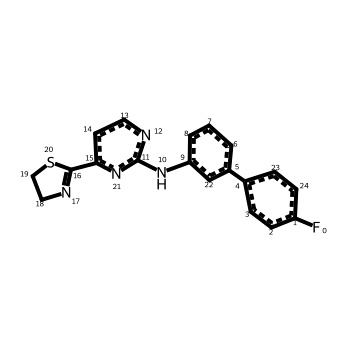 Fc1ccc(-c2cccc(Nc3nccc(C4=NCCS4)n3)c2)cc1